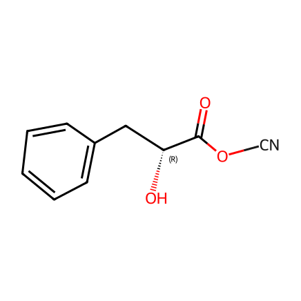 N#COC(=O)[C@H](O)Cc1ccccc1